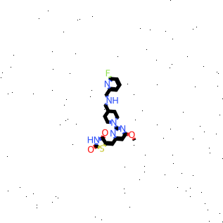 COc1cc(C=C2SC(=O)NC2=O)nc(N2CCC(CNCc3cccc(F)n3)CC2)n1